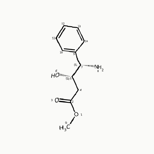 COC(=O)C[C@H](O)[C@@H](N)c1ccccc1